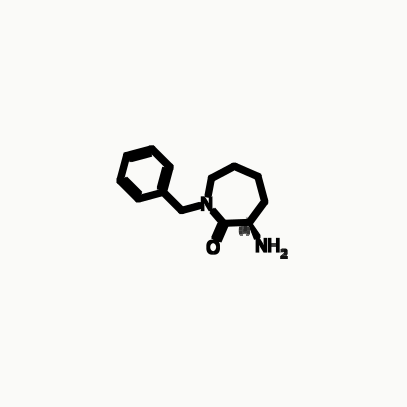 N[C@@H]1CCCCN(Cc2ccccc2)C1=O